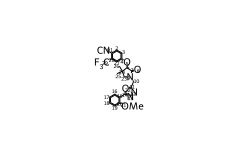 [C-]#[N+]c1ccc(OC2C(=O)N(Cc3nnc(-c4ccccc4OC)o3)CC2(C)C)cc1C(F)(F)F